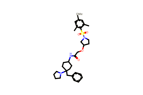 COc1cc(C)c(S(=O)(=O)N2CCC(OCC(=O)NC3CCC(Cc4ccccc4)(N4CCCC4)CC3)C2)c(C)c1